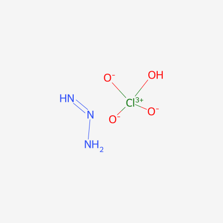 N=NN.[O-][Cl+3]([O-])([O-])O